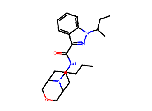 CCCCN1C2COCC1CC(NC(=O)c1nn(C(C)CC)c3ccccc13)C2